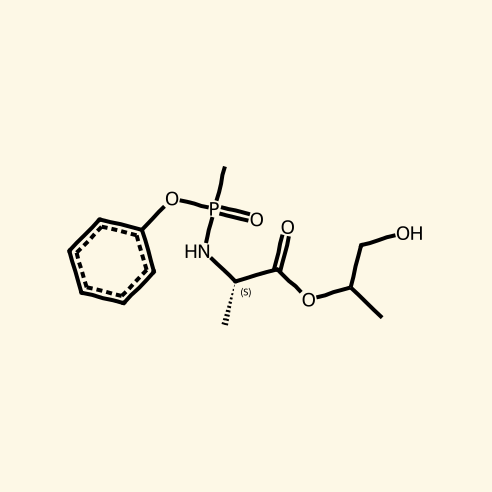 CC(CO)OC(=O)[C@H](C)NP(C)(=O)Oc1ccccc1